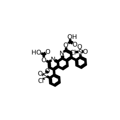 O=C(O)Oc1cc(-c2ccccc2S(=O)(=O)Cl)c2ccc3c(-c4ccccc4S(=O)(=O)Cl)cc(OC(=O)O)nc3c2n1